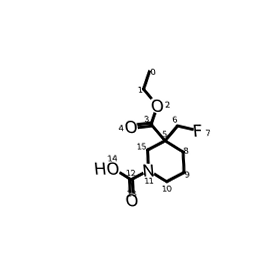 CCOC(=O)C1(CF)CCCN(C(=O)O)C1